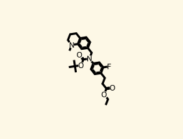 CCOC(=O)CCc1ccc(N(Cc2ccc3c(c2)N(C)CCC3)C(=O)OC(C)(C)C)cc1F